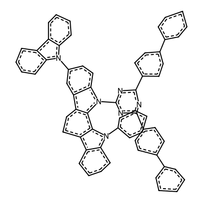 c1ccc(-c2ccc(-c3nc(-c4ccc(-c5ccccc5)cc4)nc(-n4c5ccc(-n6c7ccccc7c7ccccc76)cc5c5ccc6c7ccccc7n(-c7ccccc7)c6c54)n3)cc2)cc1